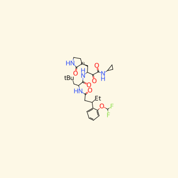 CCC(CC(=O)NC(CC(C)(C)C)C(=O)NC(C[C@@H]1CCNC1=O)C(=O)C(=O)NC1CC1)c1ccccc1OC(F)F